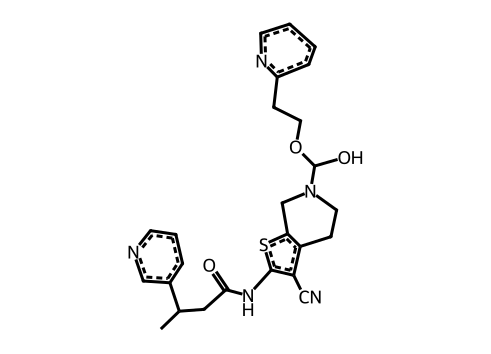 CC(CC(=O)Nc1sc2c(c1C#N)CCN(C(O)OCCc1ccccn1)C2)c1cccnc1